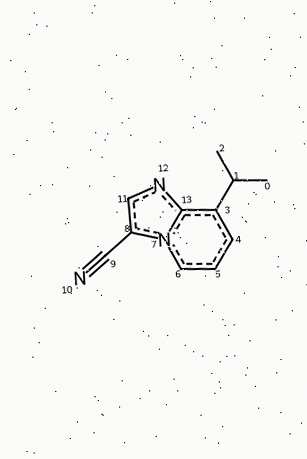 CC(C)c1cccn2c(C#N)cnc12